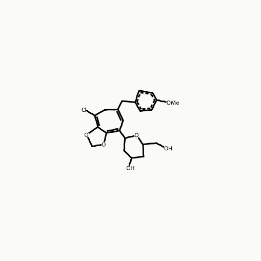 COc1ccc(CC2=CC(C3CC(O)CC(CO)O3)=C3OCOC3=C(Cl)C2)cc1